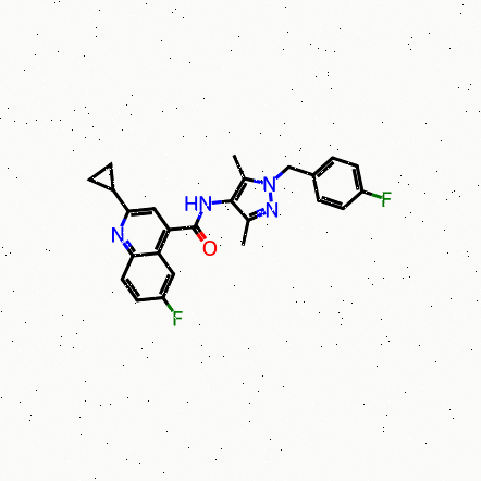 Cc1nn(Cc2ccc(F)cc2)c(C)c1NC(=O)c1cc(C2CC2)nc2ccc(F)cc12